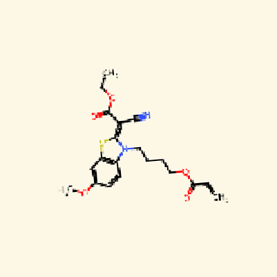 C=CC(=O)OCCCCN1/C(=C(\C#N)C(=O)OCC)Sc2cc(OC)ccc21